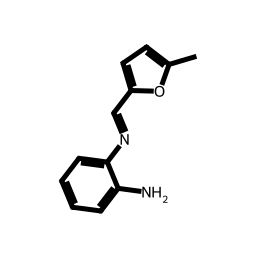 Cc1ccc(C=Nc2ccccc2N)o1